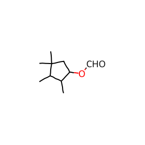 CC1C(OC=O)CC(C)(C)C1C